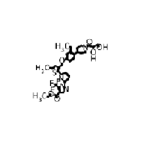 CCOC(=O)c1cnn(-c2cccc(-c3sc(C)cc3COc3ccc(C4CCN(C(=O)C(O)CO)CC4)c(CC)c3)n2)c1C(F)(F)F